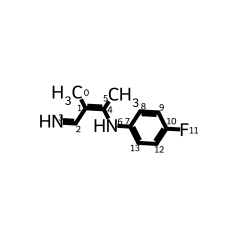 C/C(C=N)=C(\C)Nc1ccc(F)cc1